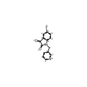 O=C1C(=O)N(Cc2cccnc2)c2ccc(F)cc21